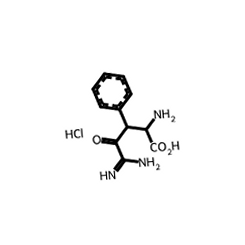 Cl.N=C(N)C(=O)C(c1ccccc1)C(N)C(=O)O